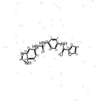 O=C(Nc1ccc(NC(=S)Nc2ccc3[nH]cnc3c2)cc1)c1ccco1